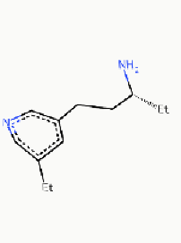 CCc1cncc(CC[C@H](N)CC)c1